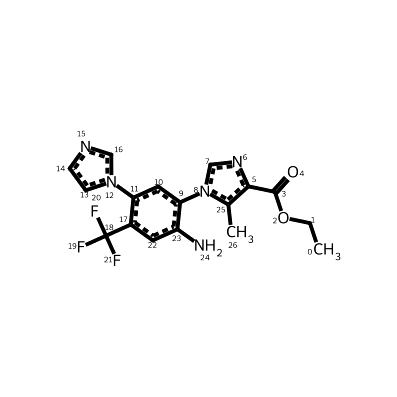 CCOC(=O)c1ncn(-c2cc(-n3ccnc3)c(C(F)(F)F)cc2N)c1C